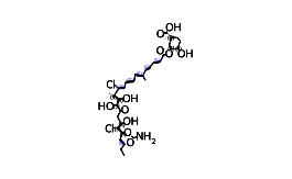 CC/C=C/[C@@H](OC(N)=O)[C@@H](Cl)[C@H](O)CC(=O)[C@@H](O)[C@H](O)[C@H](C)/C(Cl)=C/C=C/C=C(C)/C=C/C=C/C(=O)O[C@@H]1C[C@H](C(=O)O)CC[C@H]1O